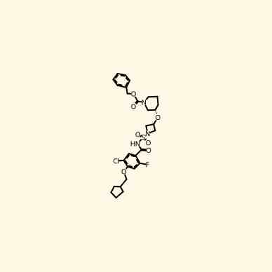 O=C(NS(=O)(=O)N1CC(O[C@H]2CCCN(C(=O)OCc3ccccc3)C2)C1)c1cc(Cl)c(OCC2CCCC2)cc1F